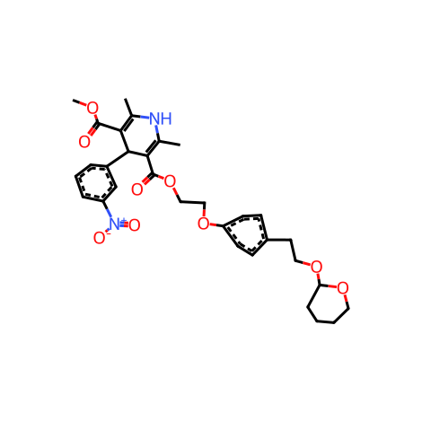 COC(=O)C1=C(C)NC(C)=C(C(=O)OCCOc2ccc(CCOC3CCCCO3)cc2)C1c1cccc([N+](=O)[O-])c1